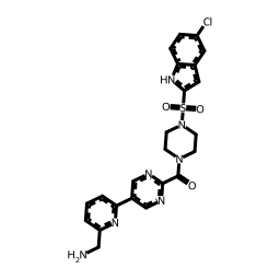 NCc1cccc(-c2cnc(C(=O)N3CCN(S(=O)(=O)c4cc5cc(Cl)ccc5[nH]4)CC3)nc2)n1